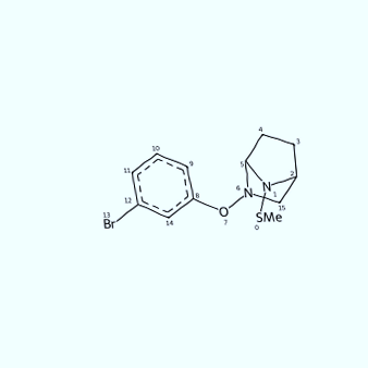 CSN1C2CCC1N(Oc1cccc(Br)c1)C2